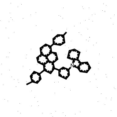 Cc1ccc(-c2ccc3ccc4c(-c5ccc(C)cc5)cc(-c5cccc(-n6c7ccccc7c7ccccc76)c5)c5ccc2c3c45)cc1